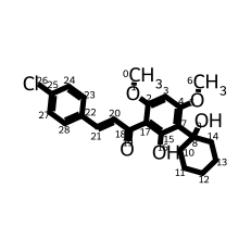 COc1cc(OC)c(C2(O)CCCCC2)c(O)c1C(=O)C=Cc1ccc(Cl)cc1